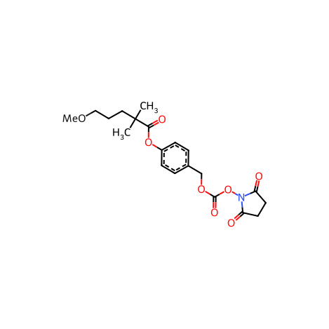 COCCCC(C)(C)C(=O)Oc1ccc(COC(=O)ON2C(=O)CCC2=O)cc1